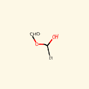 CCC(O)O[C]=O